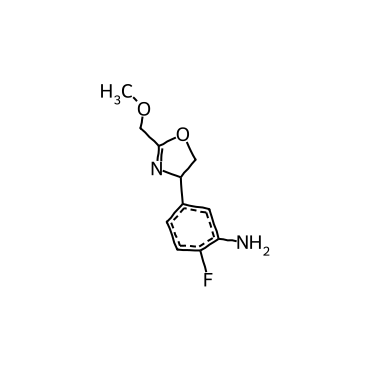 COCC1=NC(c2ccc(F)c(N)c2)CO1